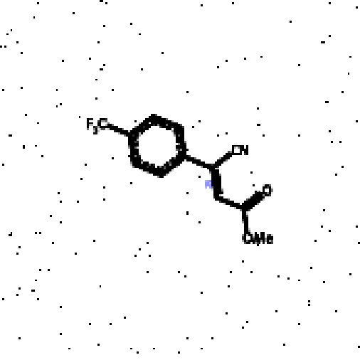 COC(=O)/C=C(\C#N)c1ccc(C(F)(F)F)cc1